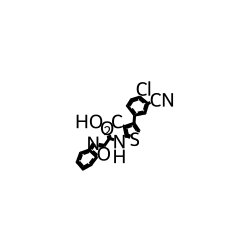 N#Cc1cc(-c2csc(NC(=O)c3nc4ccccc4o3)c2C(=O)O)ccc1Cl